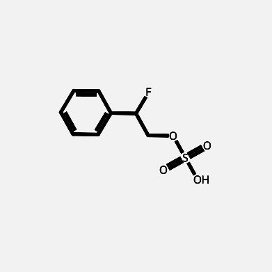 O=S(=O)(O)OCC(F)c1ccccc1